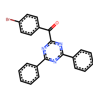 O=C(c1ccc(Br)cc1)c1nc(-c2ccccc2)nc(-c2ccccc2)n1